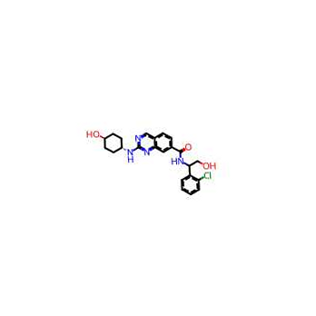 O=C(NC(CO)c1ccccc1Cl)c1ccc2cnc(N[C@H]3CC[C@H](O)CC3)nc2c1